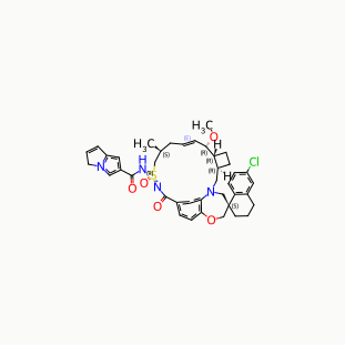 CO[C@H]1/C=C/C[C@H](C)C[S@@](=O)(NC(=O)c2cc3n(c2)CC=C3)=NC(=O)c2ccc3c(c2)N(C[C@@H]2CC[C@H]21)C[C@@]1(CCCc2cc(Cl)ccc21)CO3